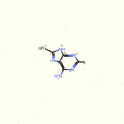 CCCc1nc2c(N)nc(C)nc2[nH]1